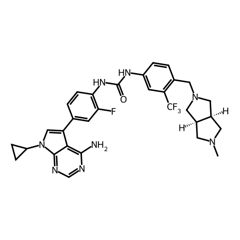 CN1C[C@@H]2CN(Cc3ccc(NC(=O)Nc4ccc(-c5cn(C6CC6)c6ncnc(N)c56)cc4F)cc3C(F)(F)F)C[C@@H]2C1